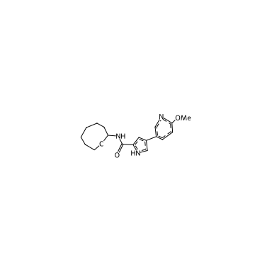 COc1ccc(-c2c[nH]c(C(=O)NC3CCCCCCC3)c2)cn1